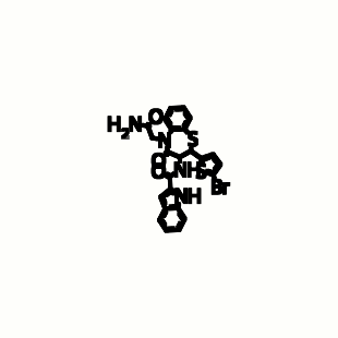 NC(=O)CN1C(=O)C(NC(=O)c2cc3ccccc3[nH]2)C(c2ccc(Br)s2)Sc2ccccc21